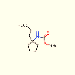 CC(C)(C)OC(=O)NC1(CCC(=O)O)CCCC1